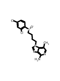 Cc1cnc(N)c2ncn(CCCC[S+]([O-])c3ccc(Cl)cc3Cl)c12